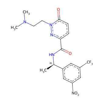 C[C@@H](NC(=O)c1ccc(=O)n(CCN(C)C)n1)c1cc([N+](=O)[O-])cc(C(F)(F)F)c1